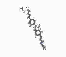 CCCCC[C@H]1CC[C@H](C(=O)OC2CCC(CC/C=C/C#N)CC2)CC1